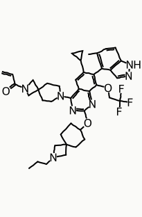 C=CC(=O)N1CC2(CCN(c3nc(OC4CCC5(CC4)CN(CCC)C5)nc4c(OCC(F)(F)F)c(-c5c(C)ccc6[nH]ncc56)c(C5CC5)cc34)CC2)C1